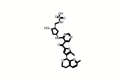 Cc1ccc2c(n1)[C@H](c1cc(C(=O)c3cncnc3N[C@H]3C[C@H](O)[C@@H]([CH]NS(=O)(=O)O)C3)sc1C)OCC2